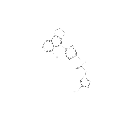 CC(C)(C)c1cnn(CC(=O)Nc2ccc(-n3c4c(c5ncnc(N)c53)CCC4)cc2)c1